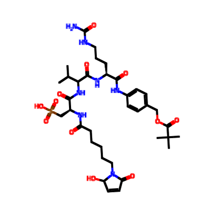 CC(C)C(NC(=O)[C@H](CS(=O)(=O)O)NC(=O)CCCCCN1C(=O)C=CC1O)C(=O)N[C@@H](CCCNC(N)=O)C(=O)Nc1ccc(COC(=O)C(C)(C)C)cc1